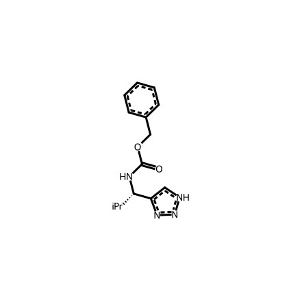 CC(C)[C@H](NC(=O)OCc1ccccc1)c1c[nH]nn1